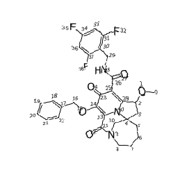 COC1CC23CCCCN(C2)C(=O)c2c(OCc4ccccc4)c(=O)c(C(=O)NCc4c(F)cc(F)cc4F)c1n23